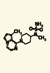 Cc1ccn2ccnc(N3CCC(N(C)S(N)(=O)=O)CC3)c12